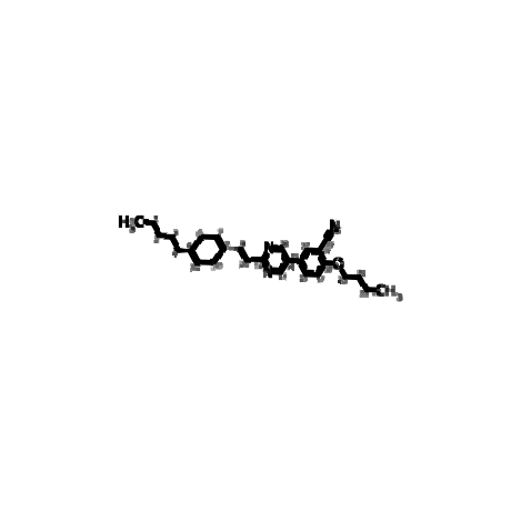 CCCCC[C@H]1CC[C@H](CCc2ncc(-c3ccc(OCCCC)c(C#N)c3)cn2)CC1